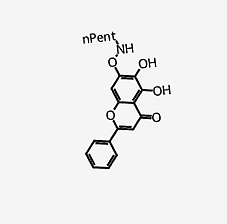 CCCCCNOc1cc2oc(-c3ccccc3)cc(=O)c2c(O)c1O